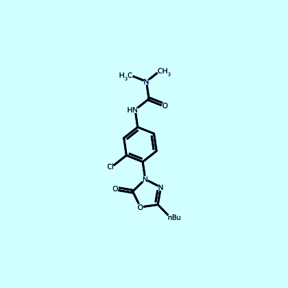 CCCCc1nn(-c2ccc(NC(=O)N(C)C)cc2Cl)c(=O)o1